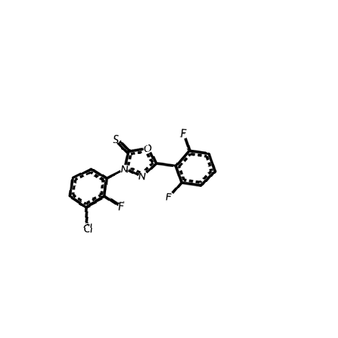 Fc1cccc(F)c1-c1nn(-c2cccc(Cl)c2F)c(=S)o1